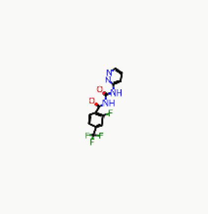 O=C(NC(=O)c1ccc(C(F)(F)F)cc1F)Nc1cccnn1